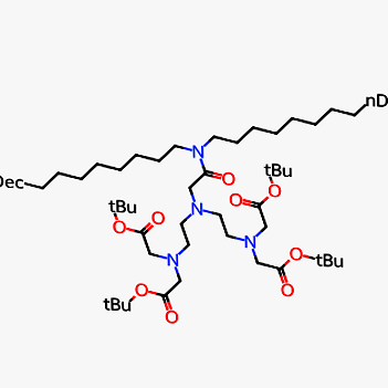 CCCCCCCCCCCCCCCCCCN(CCCCCCCCCCCCCCCCCC)C(=O)CN(CCN(CC(=O)OC(C)(C)C)CC(=O)OC(C)(C)C)CCN(CC(=O)OC(C)(C)C)CC(=O)OC(C)(C)C